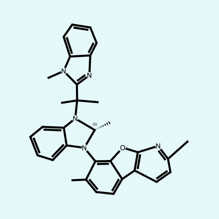 Cc1ccc2c(n1)oc1c(N3c4ccccc4N(C(C)(C)c4nc5ccccc5n4C)[C@@H]3C)c(C)ccc12